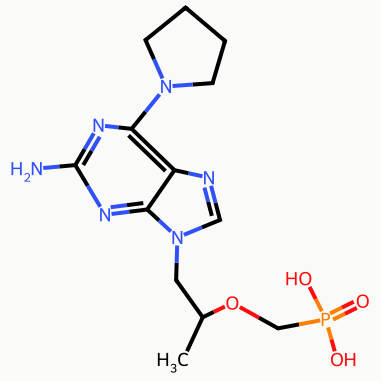 CC(Cn1cnc2c(N3CCCC3)nc(N)nc21)OCP(=O)(O)O